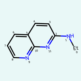 CCNc1ccc2cccnc2n1